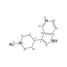 CC(=O)N1CCC(c2c[nH]c3ccncc23)CC1